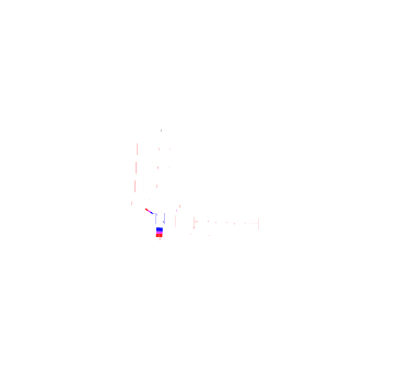 O.O.O.O.O.O.O=[N+]([O-])[O-].[Cr]